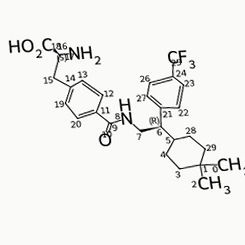 CC1(C)CCC([C@@H](CNC(=O)c2ccc(C[C@H](N)C(=O)O)cc2)c2ccc(C(F)(F)F)cc2)CC1